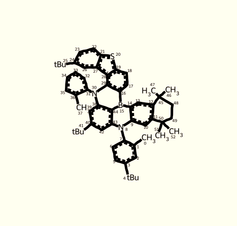 Cc1cc(C(C)(C)C)ccc1N1c2cc3c(cc2B2c4ccc5sc6ccc(C(C)(C)C)cc6c5c4N(c4ccccc4C)c4cc(C(C)(C)C)cc1c42)C(C)(C)CCC3(C)C